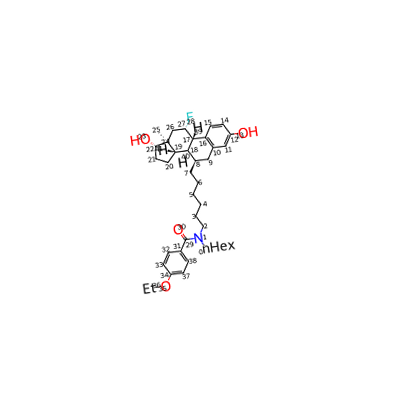 CCCCCCN(CCCCCC[C@@H]1Cc2cc(O)ccc2[C@@H]2[C@@H]1[C@@H]1CC[C@H](O)[C@@]1(C)C[C@@H]2F)C(=O)c1ccc(OCC)cc1